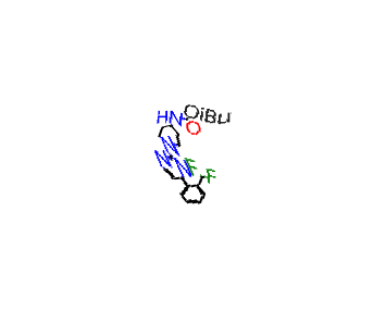 CC(C)COC(=O)NC1CCN(c2nccc(-c3ccccc3C(F)F)n2)CC1